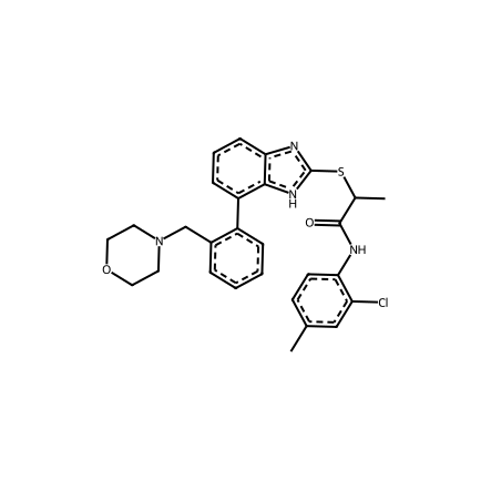 Cc1ccc(NC(=O)C(C)Sc2nc3cccc(-c4ccccc4CN4CCOCC4)c3[nH]2)c(Cl)c1